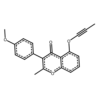 CC#COc1cccc2oc(C)c(-c3ccc(OC)cc3)c(=O)c12